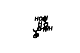 C/C=C(/c1ccoc1)c1c[nH]c(-c2n[nH]c3ccc(-c4cncc(O)c4)cc23)c1